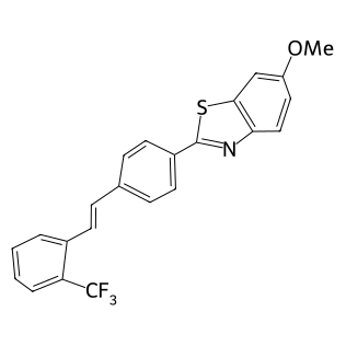 COc1ccc2nc(-c3ccc(/C=C/c4ccccc4C(F)(F)F)cc3)sc2c1